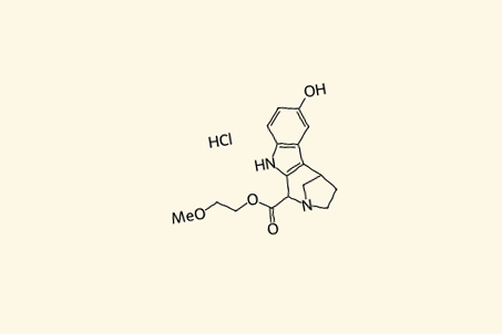 COCCOC(=O)C1c2[nH]c3ccc(O)cc3c2C2CCN1C2.Cl